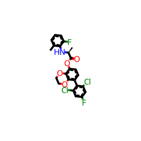 Cc1cccc(F)c1N[C@@H](C)C(=O)Oc1ccc(-c2c(Cl)cc(F)cc2Cl)c2c1OCCO2